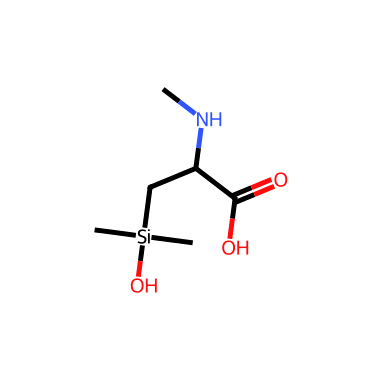 CNC(C[Si](C)(C)O)C(=O)O